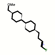 COC[C@H]1CC[C@H]([C@H]2CC[C@H](CC/C=C/F)CC2)CC1